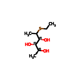 CCSC(C)[C@H](O)[C@@H](O)[C@H](C)O